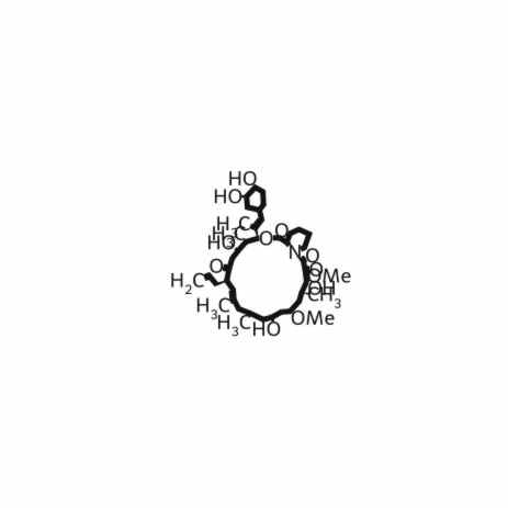 C=CC[C@@H]1/C=C(\C)C[C@H](C)C[C@H](O)C[C@@H](OC)C[C@@H](C)[C@@](O)(OC)C(=O)C(=O)N2CCCCC2C(=O)O[C@H](/C(C)=C/C2CC[C@@H](O)[C@H](O)C2)[C@H](C)[C@H](O)CC1=O